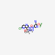 COC(C)c1c(NC(=O)Nc2cnc(OC(F)F)c(C#N)c2)cnc2ccc(Cl)nc12